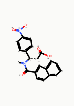 CN(C(=O)c1ccc2ccccc2c1)[C@@H](CC(=O)O)c1ccc([N+](=O)[O-])cc1